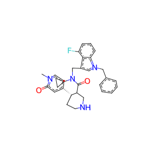 Cn1ccc([C@H]2CCNCC2C(=O)N(Cc2cn(Cc3ccccc3)c3cccc(F)c23)C2CC2)cc1=O